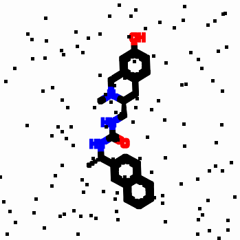 C[C@H](NC(=O)NC[C@@H]1Cc2ccc(O)cc2CN1C)c1ccc2ccccc2c1